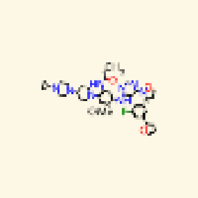 C=CC(=O)Nc1cc(Nc2cc(N3OCC[C@@H]3c3cc(F)cc(-c4ccco4)c3)ncn2)c(OC)cc1N1CCC(N2CCN(C3CC3)CC2)CC1